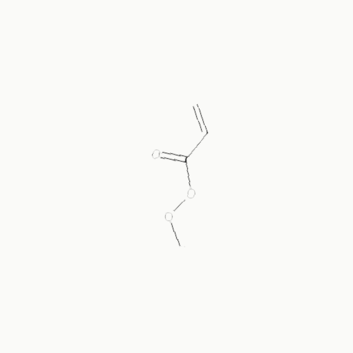 [CH2]OOC(=O)C=C